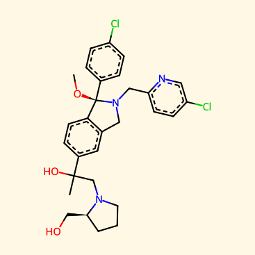 CO[C@]1(c2ccc(Cl)cc2)c2ccc(C(C)(O)CN3CCC[C@H]3CO)cc2CN1Cc1ccc(Cl)cn1